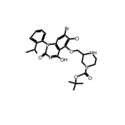 CC(C)c1ccccc1-n1c(=O)nc(O)c2c(OCC3CN(C(=O)OC(C)(C)C)CCN3)c(Cl)c(Br)cc21